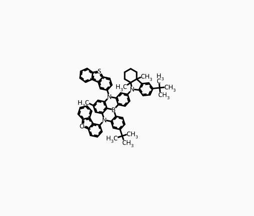 Cc1cc2c3c(c1)N(c1cccc4oc5ccccc5c14)c1cc(C(C)(C)C)ccc1B3c1ccc(N3c4ccc(C(C)(C)C)cc4C4(C)CCCCC34C)cc1N2c1ccc2sc3ccccc3c2c1